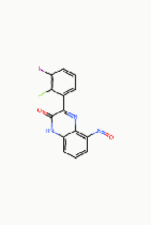 O=Nc1cccc2[nH]c(=O)c(-c3cccc(I)c3F)nc12